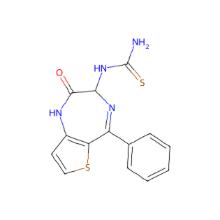 NC(=S)NC1N=C(c2ccccc2)c2sccc2NC1=O